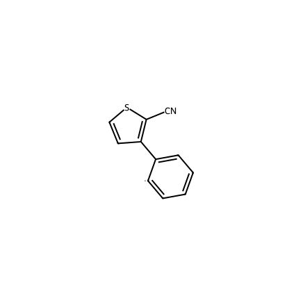 N#Cc1sccc1-c1[c]cccc1